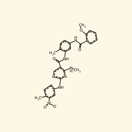 CNc1nc(Nc2ccc(C)c([N+](=O)[O-])c2)ncc1C(=O)Nc1cc(NC(=O)c2ccccc2OC)ccc1C